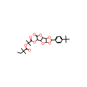 CCC(C)(C)C(=O)OC(C)(C)C(=O)OC1C(=O)OC2C3OC(c4ccc(C(C)(C)C)cc4)OC3OC12